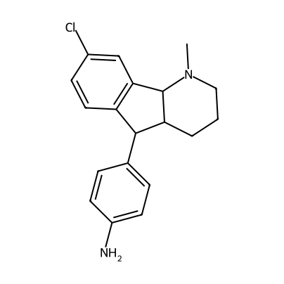 CN1CCCC2C(c3ccc(N)cc3)c3ccc(Cl)cc3C21